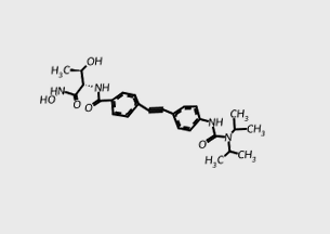 CC(C)N(C(=O)Nc1ccc(C#Cc2ccc(C(=O)N[C@H](C(=O)NO)[C@@H](C)O)cc2)cc1)C(C)C